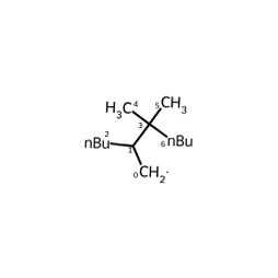 [CH2]C(CCCC)C(C)(C)CCCC